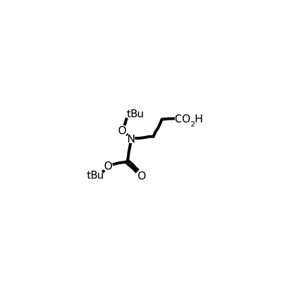 CC(C)(C)OC(=O)N(CCC(=O)O)OC(C)(C)C